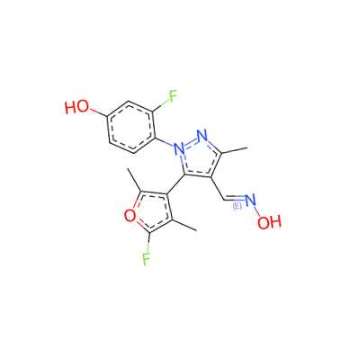 Cc1nn(-c2ccc(O)cc2F)c(-c2c(C)oc(F)c2C)c1/C=N/O